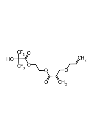 C=CCOCC(=C)C(=O)OCCOC(=O)C(O)(C(F)(F)F)C(F)(F)F